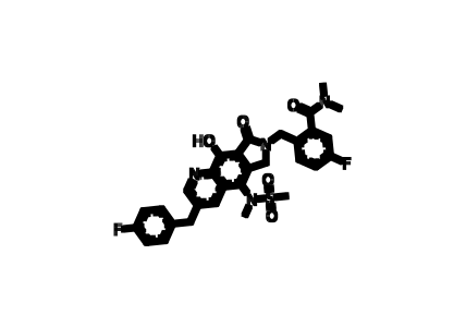 CN(C)C(=O)c1cc(F)ccc1CN1Cc2c(c(O)c3ncc(Cc4ccc(F)cc4)cc3c2N(C)S(C)(=O)=O)C1=O